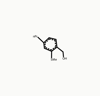 CCCc1ccc(CO)c(SC)c1